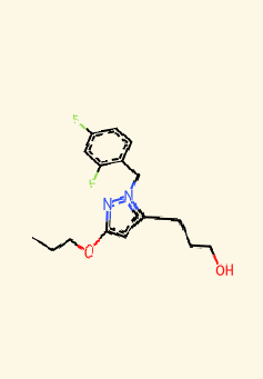 CCCOc1cc(CCCO)n(Cc2ccc(F)cc2F)n1